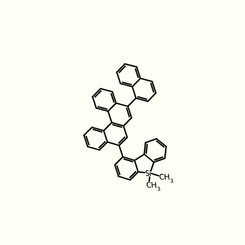 C[Si]1(C)c2ccccc2-c2c(-c3cc4cc(-c5cccc6ccccc56)c5ccccc5c4c4ccccc34)cccc21